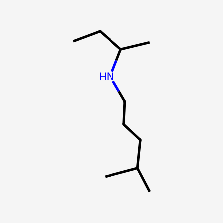 CCC(C)NCCCC(C)C